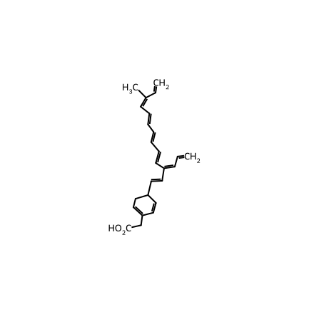 C=C/C=C(\C=C\C=C\C=C\C=C(\C)C=C)/C=C/C1C=CC(CC(=O)O)=CC1